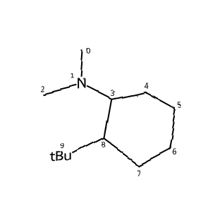 CN(C)C1CCCCC1C(C)(C)C